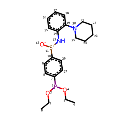 CCOP(OCC)c1ccc([S+]([O-])Nc2ccccc2N2CCCCC2)cc1